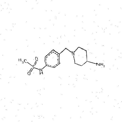 CS(=O)(=O)Nc1ccc(CN2CCC(N)CC2)cc1